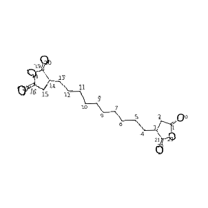 O=C1CC(CCCCCCCCCCC2CC(=O)OC2=O)C(=O)O1